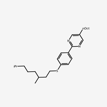 CCCCCCCCc1cnc(-c2ccc(SCCC(C)CCCC(C)C)cc2)nc1